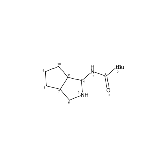 CC(C)(C)C(=O)N[C]1NCC2CCCC12